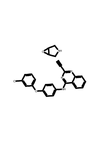 C#Cc1nc(Nc2ccc(Oc3cccc(Cl)c3)cc2)c2ccccc2n1.C1NCC2OC12